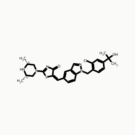 C[C@@H]1CN(C2=NC(=O)C(=Cc3ccc4c(cnn4Cc4ccc(C(C)(C)O)cc4Cl)c3)S2)C[C@H](C)N1